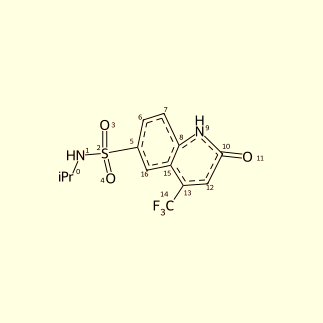 CC(C)NS(=O)(=O)c1ccc2[nH]c(=O)cc(C(F)(F)F)c2c1